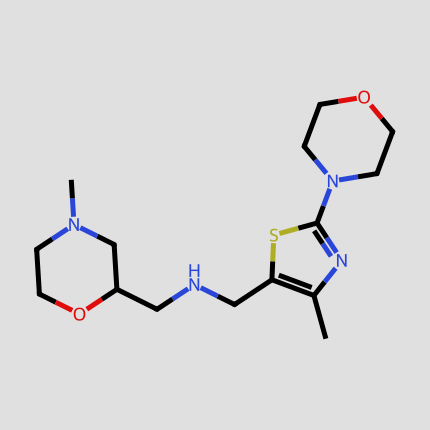 Cc1nc(N2CCOCC2)sc1CNCC1CN(C)CCO1